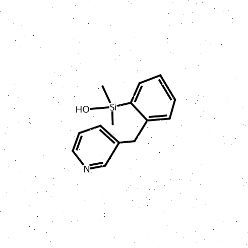 C[Si](C)(O)c1ccccc1Cc1cccnc1